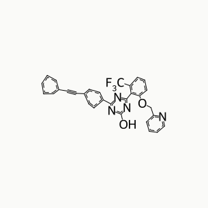 Oc1nc(-c2ccc(C#Cc3ccccc3)cc2)nc(-c2c(OCc3ccccn3)cccc2C(F)(F)F)n1